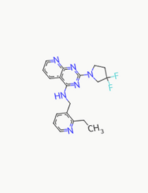 CCc1ncccc1CNc1nc(N2CCC(F)(F)C2)nc2ncccc12